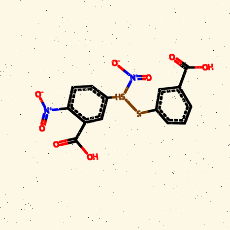 O=C(O)c1cccc(S[SH](c2ccc([N+](=O)[O-])c(C(=O)O)c2)[N+](=O)[O-])c1